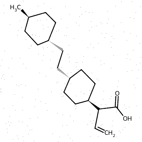 C=CC(C(=O)O)[C@H]1CC[C@H](CC[C@H]2CC[C@H](C)CC2)CC1